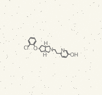 Oc1ccc(CCN2C[C@H]3C[C@H](Oc4ccccc4Cl)C[C@H]3C2)nc1